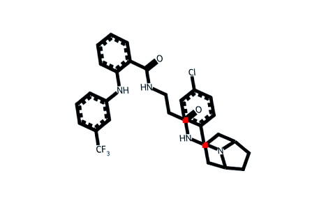 O=C(CCNC(=O)c1ccccc1Nc1cccc(C(F)(F)F)c1)NC1CC2CCC(C1)N2Cc1ccc(Cl)cc1